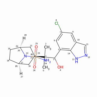 CC(C)(C(O)c1cc(Cl)cc2cn[nH]c12)[C@H]1C[C@H]2CC[C@@H](C1)N2S(N)(=O)=O